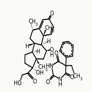 CCC1(c2ccccc2)C(=O)NC(=O)NC1=O.C[C@H]1C[C@@H]2[C@H]([C@@H](O)C[C@@]3(C)[C@H]2CC[C@]3(O)C(=O)CO)[C@@]2(C)C=CC(=O)C=C12